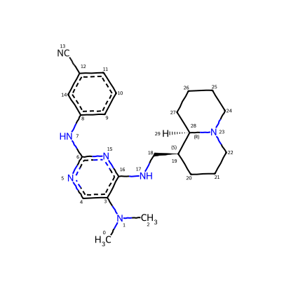 CN(C)c1cnc(Nc2cccc(C#N)c2)nc1NC[C@@H]1CCCN2CCCC[C@H]12